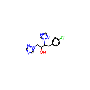 OC(Cn1cncn1)C(Cc1ccc(Cl)cc1)n1cncn1